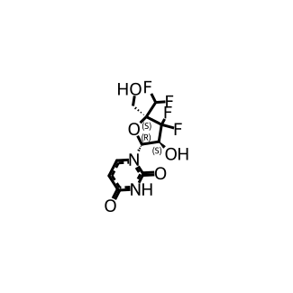 O=c1ccn([C@@H]2O[C@@](CO)(C(F)F)C(F)(F)[C@H]2O)c(=O)[nH]1